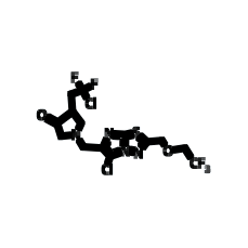 O=C1CN(Cc2nc3sc(COCC(F)(F)F)nn3c2Cl)CC1CC(F)(F)Cl